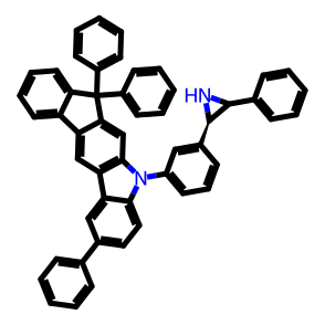 c1ccc(-c2ccc3c(c2)c2cc4c(cc2n3-c2cccc([C@H]3NC3c3ccccc3)c2)C(c2ccccc2)(c2ccccc2)c2ccccc2-4)cc1